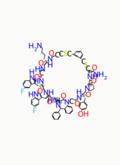 C[C@@]12CCCN1C(=O)[C@H](Cc1ccc(O)cc1)NC(=O)CN1C(=O)[C@H](N=C(c3ccccc3)c3ccccc31)NC(=O)[C@@H](Cc1c[nH]c3ccc(F)cc13)NC(=O)[C@H](Cc1c[nH]c3ccc(F)cc13)NC(=O)CNC(=O)[C@H](CCCCN)NC(=O)CCSCc1cccc(c1)CSC[C@@H](C(N)=O)NC2=O